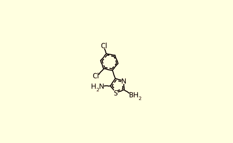 Bc1nc(-c2ccc(Cl)cc2Cl)c(N)s1